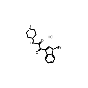 CC(C)n1cc(C(=O)C(=O)NC2CCNCC2)c2ccccc21.Cl